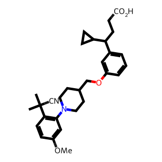 COc1ccc(C(C)(C)C#N)c(N2CCC(COc3cccc(C(CCC(=O)O)C4CC4)c3)CC2)c1